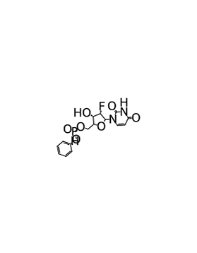 O=c1ccn(C2OC(CO[PH](=O)Oc3ccccc3)[C@@H](O)[C@H]2F)c(=O)[nH]1